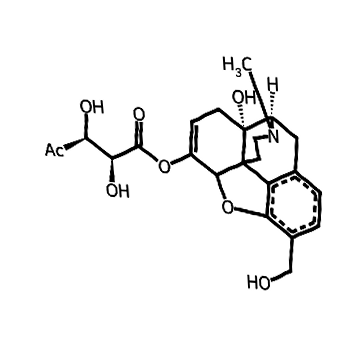 CC(=O)[C@@H](O)[C@H](O)C(=O)OC1=CC[C@@]2(O)[C@H]3Cc4ccc(CO)c5c4C2(CCN3C)C1O5